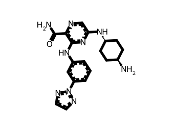 NC(=O)c1ncc(N[C@H]2CC[C@H](N)CC2)nc1Nc1cccc(-n2nccn2)c1